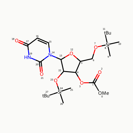 COC(=O)OC1C(CO[Si](C)(C)C(C)(C)C)OC(n2ccc(=O)[nH]c2=O)C1O[Si](C)(C)C(C)(C)C